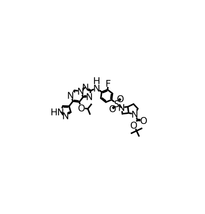 CC(C)Oc1c(-c2cn[nH]c2)ncn2nc(Nc3ccc(S(=O)(=O)N4CC5C4CCN5C(=O)OC(C)(C)C)cc3F)nc12